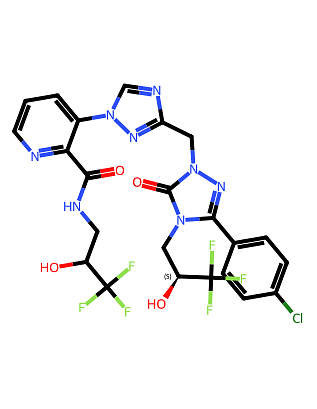 O=C(NCC(O)C(F)(F)F)c1ncccc1-n1cnc(Cn2nc(-c3ccc(Cl)cc3)n(C[C@H](O)C(F)(F)F)c2=O)n1